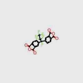 O=C1OC(=O)c2cc(C(F)(c3ccc4c(c3)C(=O)OC4=O)C(F)(F)C(F)(F)F)ccc21